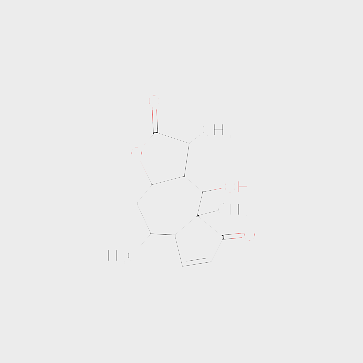 CC1CC2OC(=O)C(C)C2C(O)C2(C)C(=O)C=CC12